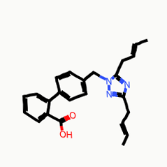 C/C=C/Cc1nc(C/C=C/C)n(Cc2ccc(-c3ccccc3C(=O)O)cc2)n1